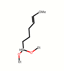 CCO[SiH](CCCC=COC)OCC